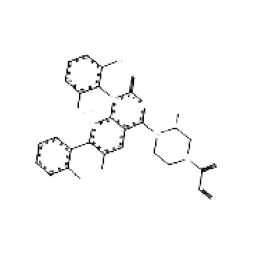 C=CC(=O)N1CCN(c2nc(=O)n(-c3c(CCC)cccc3OC)c3nc(-c4ccccc4F)c(Cl)cc23)[C@@H](C)C1